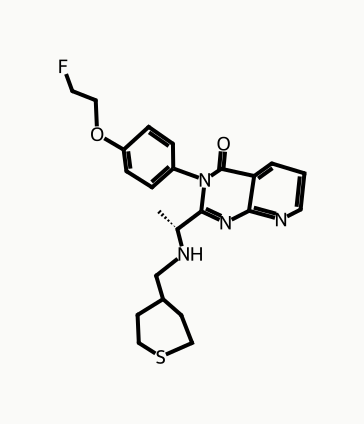 C[C@@H](NCC1CCSCC1)c1nc2ncccc2c(=O)n1-c1ccc(OCCF)cc1